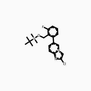 CC(C)(C)[Si](C)(C)OCc1c(F)cccc1-c1ccc2nc(Cl)cn2c1